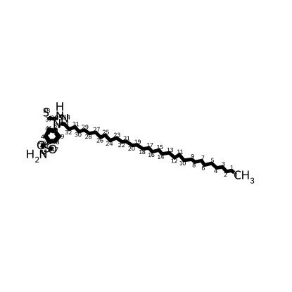 CCCCCCCCCCCCCCCCCCCCCCCCCCCCCCCCCC1=NNC(C=S)N1c1ccc(S(N)(=O)=O)cc1